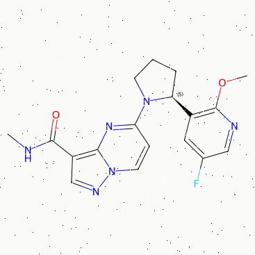 CNC(=O)c1cnn2ccc(N3CCC[C@H]3c3cc(F)cnc3OC)nc12